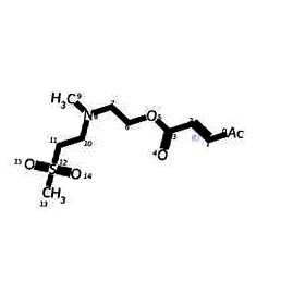 CC(=O)/C=C/C(=O)OCCN(C)CCS(C)(=O)=O